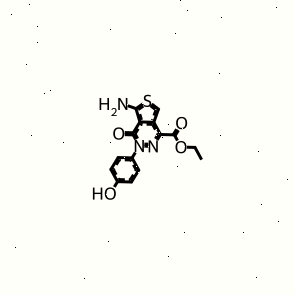 CCOC(=O)c1nn(-c2ccc(O)cc2)c(=O)c2c(N)scc12